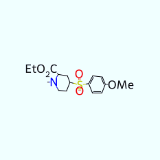 CCOC(=O)C1CC(S(=O)(=O)c2ccc(OC)cc2)CCN1C